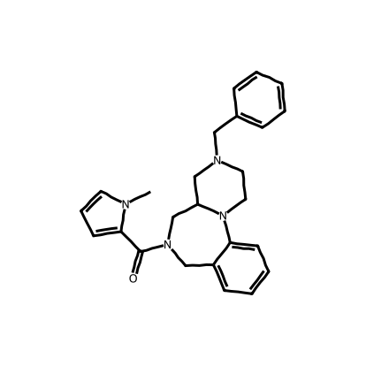 Cn1cccc1C(=O)N1Cc2ccccc2N2CCN(Cc3ccccc3)CC2C1